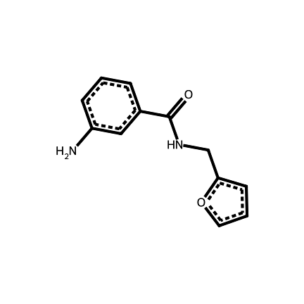 Nc1cccc(C(=O)NCc2ccco2)c1